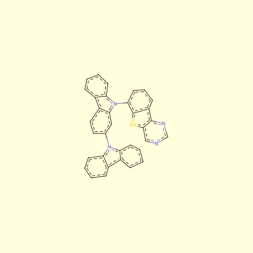 c1cc(-n2c3ccccc3c3ccc(-n4c5ccccc5c5ccccc54)cc32)c2sc3cncnc3c2c1